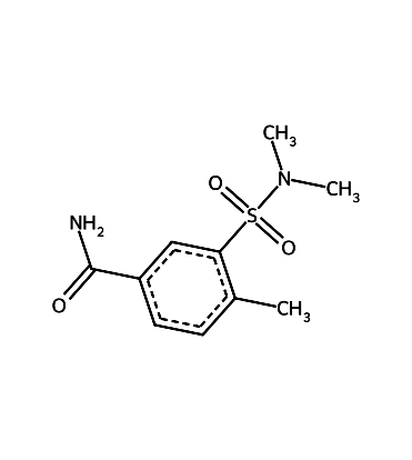 Cc1ccc(C(N)=O)cc1S(=O)(=O)N(C)C